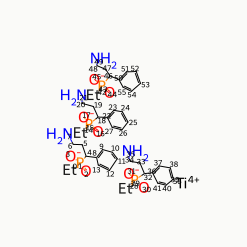 CCP(=O)([O-])C(CCN)c1ccccc1.CCP(=O)([O-])C(CCN)c1ccccc1.CCP(=O)([O-])C(CCN)c1ccccc1.CCP(=O)([O-])C(CCN)c1ccccc1.[Ti+4]